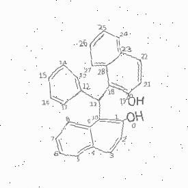 Oc1ccc2ccccc2c1C(c1ccccc1)c1c(O)ccc2ccccc12